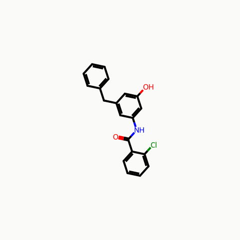 O=C(Nc1cc(O)cc(Cc2ccccc2)c1)c1ccccc1Cl